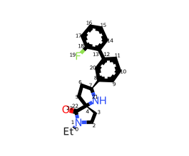 CCN1CC[C@]2(CC[C@@H](c3cccc(-c4ccccc4F)c3)N2)C1=O